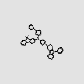 CC1Cc2c(c3ccccc3n2-c2ccccc2)C=C1c1ccc(N(c2cccc(-c3ccccc3)c2)c2ccc3c(c2)C(C)(C)c2ccccc2-3)cc1